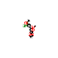 CCOC(=O)C(=CC1CCC2(C1)OCC(C)(C)CO2)c1ccc([S+]([O-])C2CC2)c(Br)c1